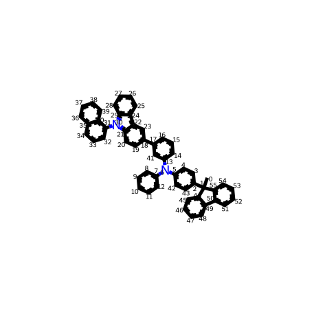 CC1(c2ccc(N(c3ccccc3)c3cccc(-c4ccc5c(c4)c4ccccc4n5-c4cccc5ccccc45)c3)cc2)c2ccccc2-c2ccccc21